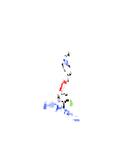 CCCN1CCC(COc2cc(F)c3c(N)n[nH]c3c2)CC1